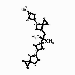 CC(C)(C)N1CC(N2CC(CC(C)(C)N3CC(N4CCC5(CC5)C4)C3)C23CC3)C1